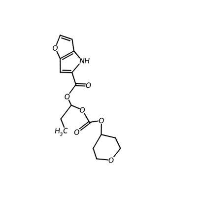 CCC(OC(=O)OC1CCOCC1)OC(=O)c1cc2occc2[nH]1